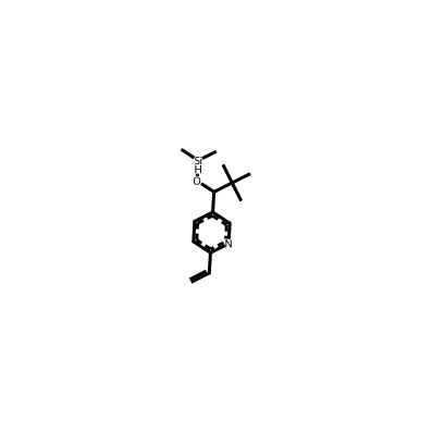 C=Cc1ccc(C(O[SiH](C)C)C(C)(C)C)cn1